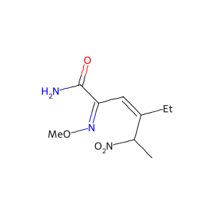 CCC(=CC(=NOC)C(N)=O)C(C)[N+](=O)[O-]